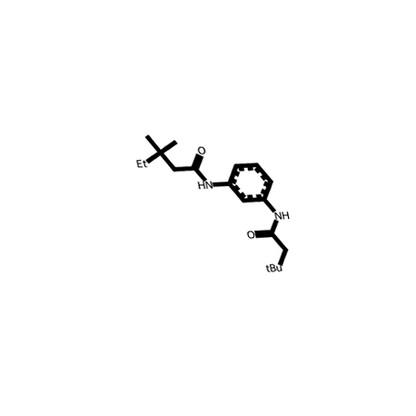 CCC(C)(C)CC(=O)Nc1cccc(NC(=O)CC(C)(C)C)c1